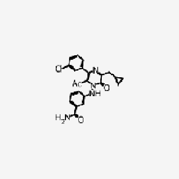 CC(=O)c1c(-c2cccc(Cl)c2)nc(CC2CC2)c(=O)n1Nc1cccc(C(N)=O)c1